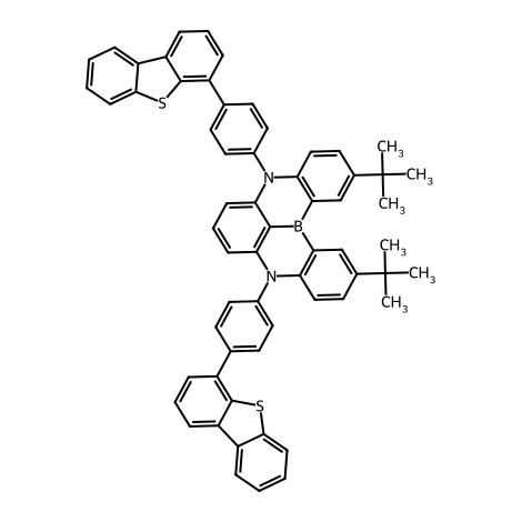 CC(C)(C)c1ccc2c(c1)B1c3cc(C(C)(C)C)ccc3N(c3ccc(-c4cccc5c4sc4ccccc45)cc3)c3cccc(c31)N2c1ccc(-c2cccc3c2sc2ccccc23)cc1